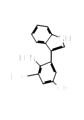 Cc1cc(C)c(N)c(-c2c[nH]c3ccccc23)c1